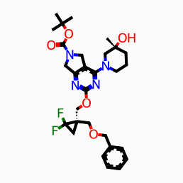 CC(C)(C)OC(=O)N1Cc2nc(OC[C@]3(COCc4ccccc4)CC3(F)F)nc(N3CCC[C@@](C)(O)C3)c2C1